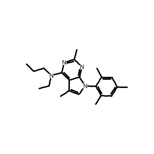 CCCN(CC)c1nc(C)nc2c1c(C)cn2-c1c(C)cc(C)cc1C